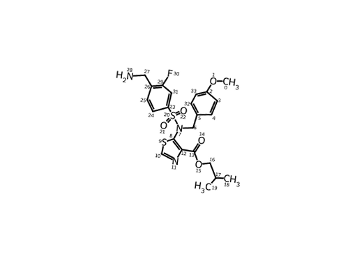 COc1ccc(CN(c2scnc2C(=O)OCC(C)C)S(=O)(=O)c2ccc(CN)c(F)c2)cc1